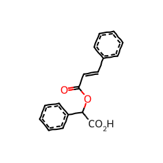 O=C(C=Cc1ccccc1)OC(C(=O)O)c1ccccc1